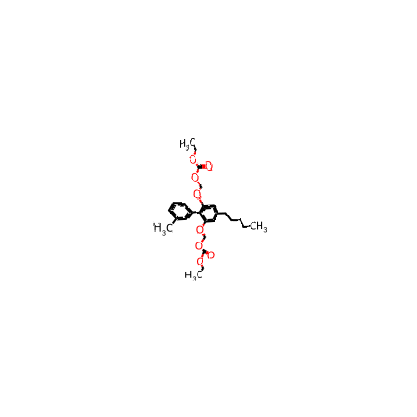 CCCCCc1cc(OCOC(=O)OCC)c(-c2cccc(C)c2)c(OCOC(=O)OCC)c1